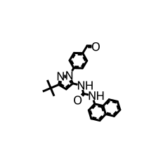 CC(C)(C)c1cc(NC(=O)Nc2cccc3ccccc23)n(-c2ccc(C=O)cc2)n1